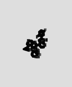 CC1(C)CNCCC1Nc1nc(-c2ccnc3[nH]c(-c4cc(F)ccc4F)cc23)nc2cncc(C3CC3)c12